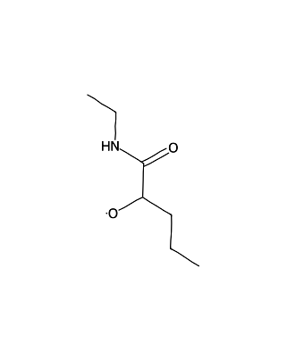 CCCC([O])C(=O)NCC